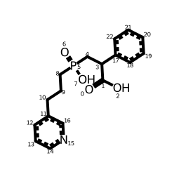 O=C(O)C(CP(=O)(O)CCCc1cccnc1)c1ccccc1